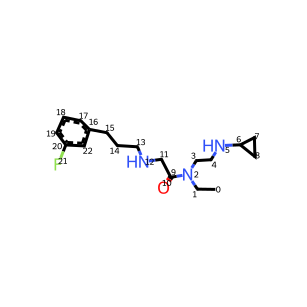 CCN(CCNC1CC1)C(=O)CNCCCc1cccc(F)c1